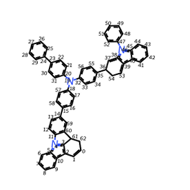 C1=Cc2c3n(c4ccccc24)-c2ccc(-c4ccc(N(c5ccc(-c6ccccc6)cc5)c5ccc(C6C=c7c(c8ccccc8n7-c7ccccc7)=CC6)cc5)cc4)cc2C3C1